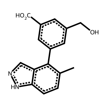 Cc1ccc2[nH]ncc2c1-c1cc(CO)cc(C(=O)O)c1